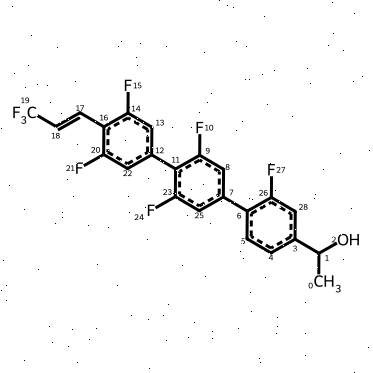 CC(O)c1ccc(-c2cc(F)c(-c3cc(F)c(/C=C/C(F)(F)F)c(F)c3)c(F)c2)c(F)c1